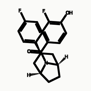 O=C(c1ccc(O)c(F)c1)N1[C@@H]2CC[C@H]1C[C@@H](c1ccc(F)cc1)C2